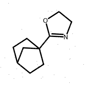 C1COC(C23CCC(CC2)C3)=N1